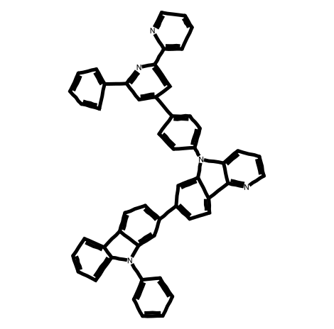 c1ccc(-c2cc(-c3ccc(-n4c5cc(-c6ccc7c8ccccc8n(-c8ccccc8)c7c6)ccc5c5ncccc54)cc3)cc(-c3ccccn3)n2)cc1